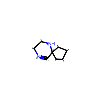 C1#[N+]CCNC12CCCC2